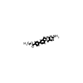 CCOC(=O)c1ccc(-c2ccc3c(c2)CCN3Cc2cnc(N)nc2N)cc1